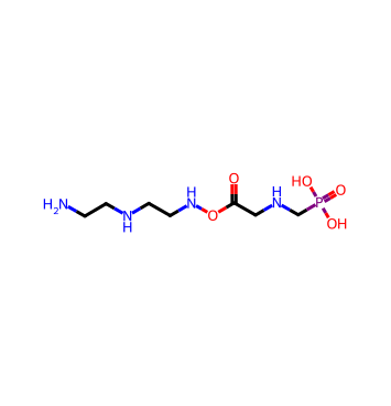 NCCNCCNOC(=O)CNCP(=O)(O)O